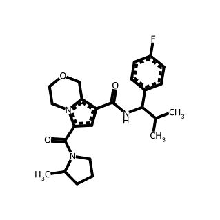 CC(C)C(NC(=O)c1cc(C(=O)N2CCCC2C)n2c1COCC2)c1ccc(F)cc1